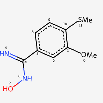 COc1cc(C(=N)NO)ccc1SC